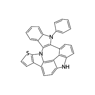 c1ccc(-n2c3ccccc3c3c2c2cccc4[nH]c5ccc6c7ccsc7n3c6c5c42)cc1